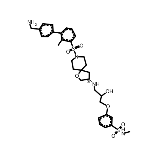 CNS(=O)(=O)c1cccc(OCC(O)CN[C@@H]2COC3(CCN(S(=O)(=O)c4cccc(-c5ccc(CN)cc5)c4C)CC3)C2)c1